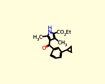 CCOC(=O)c1[nH]c(C)c(C(=O)c2cccc(C3CC3)c2)c1C